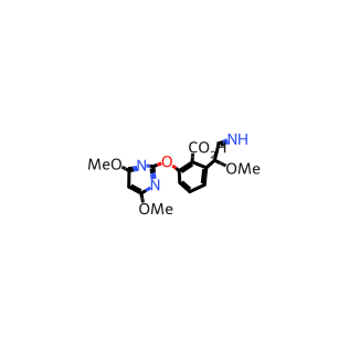 COc1cc(OC)nc(Oc2cccc(C(C=N)OC)c2C(=O)O)n1